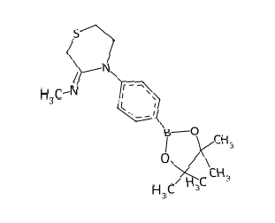 CN=C1CSCCN1c1ccc(B2OC(C)(C)C(C)(C)O2)cc1